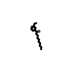 CCCCCCCCCC(=O)c1[c]ccc(CC)c1